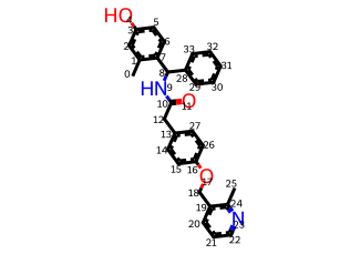 Cc1cc(O)ccc1C(NC(=O)Cc1ccc(OCc2cccnc2C)cc1)c1ccccc1